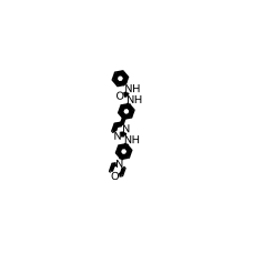 O=C(Nc1ccccc1)Nc1ccc(-c2ccnc(Nc3ccc(N4CCOCC4)cc3)n2)cc1